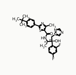 Cc1nc(-c2ccc(C(C)(C)C)cc2)sc1C(=O)N[C@H](C)[C@](O)(Cn1cncn1)c1ccc(F)cc1F